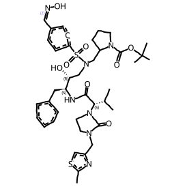 Cc1nc(CN2CCN([C@H](C(=O)N[C@@H](Cc3ccccc3)[C@H](O)CN(CC3CCCN3C(=O)OC(C)(C)C)S(=O)(=O)c3ccc(/C=N\O)cc3)C(C)C)C2=O)cs1